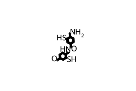 NCC1CCC(C(=O)NCC2CCC(C=O)CC2S)C=C1S